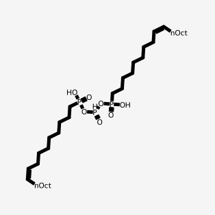 CCCCCCCC/C=C\CCCCCCCCP(=O)(O)O[PH](=O)OP(=O)(O)CCCCCCCC/C=C\CCCCCCCC